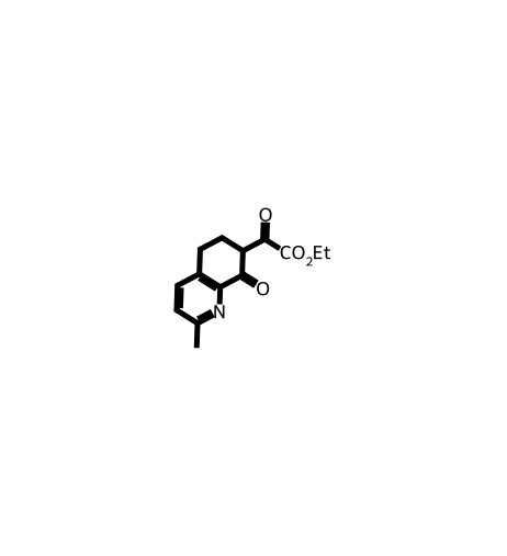 CCOC(=O)C(=O)C1CCc2ccc(C)nc2C1=O